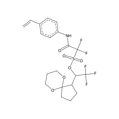 C=Cc1ccc(NC(=O)C(F)(F)S(=O)(=O)OC(C2CCCC23OCCCO3)C(F)(F)F)cc1